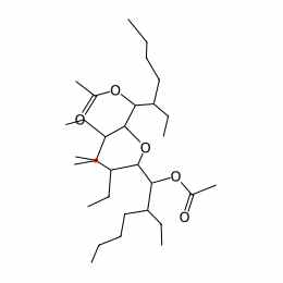 CCCCC(CC)C(OC(C)=O)C(OC(C(CC)CC)C(OC(C)=O)C(CC)CCCC)C(CC)CC